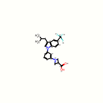 CC(C)Cc1cn(-c2cccc(N3CC(C(=O)O)C3)c2)c2ccc(C(F)(F)F)cc12